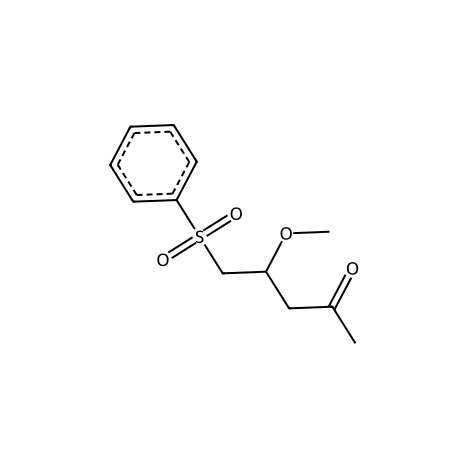 COC(CC(C)=O)CS(=O)(=O)c1ccccc1